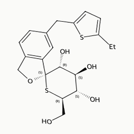 CCc1ccc(Cc2ccc3c(c2)[C@]2(OC3)S[C@H](CO)[C@@H](O)[C@H](O)[C@H]2O)s1